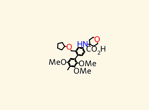 COc1cc(-c2ccc(NC3(C(=O)O)CCOCC3)cc2COC2CCCC2)c(OC)c(OC)c1C